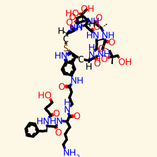 CC(O)[C@H]1NC(=O)[C@H](C)NC(=O)[C@H](C[C@@](C)(O)CO)NC(=O)[C@@H]2Cc3c([nH]c4ccc(NC(=O)CCCNC(=O)C(CCCCN)NC(=O)[C@@H](Cc5ccccc5)NC(=O)CCO)cc34)SC[C@@H](NC1=O)C(=O)N1C[C@H](O)C[C@H]1C(=O)N[C@@H](C)C(=O)N2